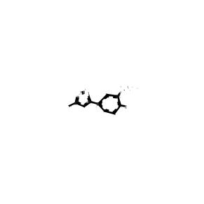 CCc1cc(-c2ccc(C=O)c(NC)c2)no1